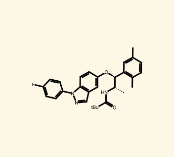 Cc1ccc(C)c([C@H](Oc2ccc3c(cnn3-c3ccc(F)cc3)c2)[C@H](C)NC(=O)C(C)(C)C)c1